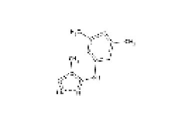 Cc1cc(C)cc(Nc2n[nH]cc2C)c1